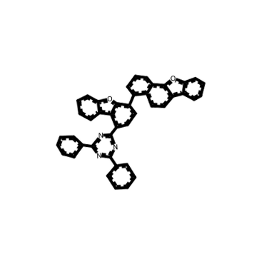 c1ccc(-c2nc(-c3ccccc3)nc(-c3ccc(-c4cccc5c4ccc4c6ccccc6oc54)c4oc5ccccc5c34)n2)cc1